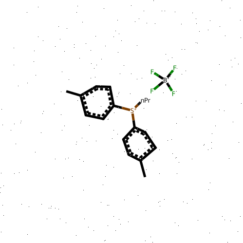 CCC[S+](c1ccc(C)cc1)c1ccc(C)cc1.F[B-](F)(F)F